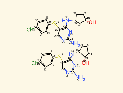 Nc1ncc(Sc2ccc(Cl)cc2)c(N[C@@H]2CCC[C@@H]2O)n1.Nc1ncc(Sc2ccc(Cl)cc2)c(N[C@H]2CC[C@@H](O)C2)n1